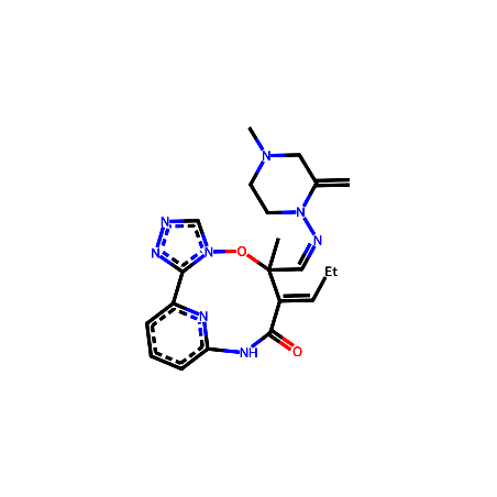 C=C1CN(C)CCN1/N=C\C1(C)On2cnnc2-c2cccc(n2)NC(=O)/C1=C/CC